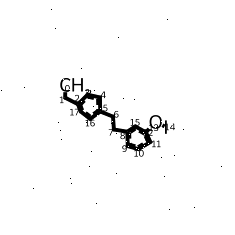 CCc1ccc(CCc2cccc(OI)c2)cc1